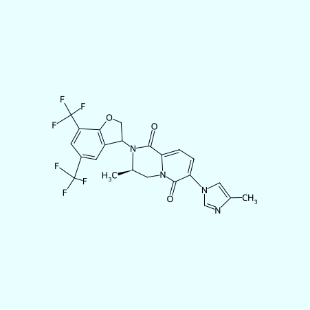 Cc1cn(-c2ccc3n(c2=O)C[C@@H](C)N(C2COc4c2cc(C(F)(F)F)cc4C(F)(F)F)C3=O)cn1